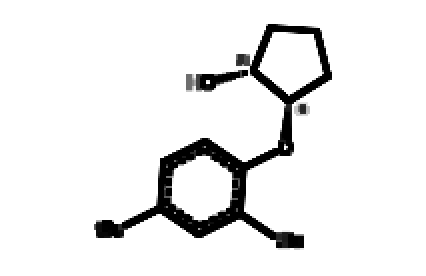 CC(C)(C)c1ccc(O[C@@H]2CCC[C@H]2O)c(C(C)(C)C)c1